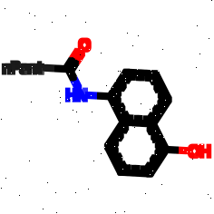 CCCCCC(=O)Nc1cccc2c(O)cccc12